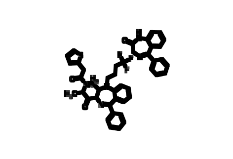 CC(NC(=O)Cc1cccs1)C(=O)C1N=C(c2ccccc2)c2ccccc2N(CCCC(F)(F)F)C1N.O=C1CN=C(c2ccccc2)c2ccccc2N1